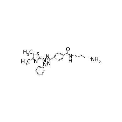 Cc1nc(-[n+]2nc(-c3ccc(C(=O)NCCCCCN)cc3)nn2-c2ccccc2)sc1C